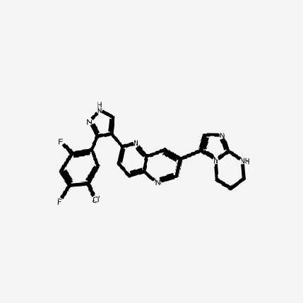 Fc1cc(F)c(-c2n[nH]cc2-c2ccc3ncc(-c4cnc5n4CCCN5)cc3n2)cc1Cl